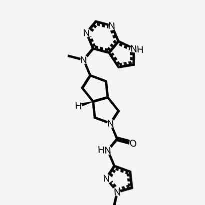 CN(c1ncnc2[nH]ccc12)C1CC2CN(C(=O)Nc3ccn(C)n3)C[C@@H]2C1